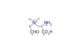 C[N+](C)(C)CC=O.NCC(=O)O